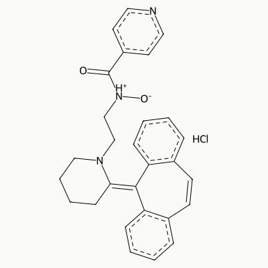 Cl.O=C(c1ccncc1)[NH+]([O-])CCN1CCCCC1=C1c2ccccc2C=Cc2ccccc21